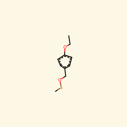 CCOc1ccc(COSC)cc1